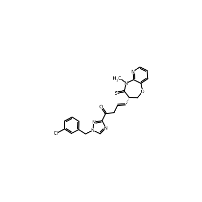 CN1C(=S)[C@@H](/C=C/CC(=O)c2ncn(Cc3cccc(Cl)c3)n2)COc2cccnc21